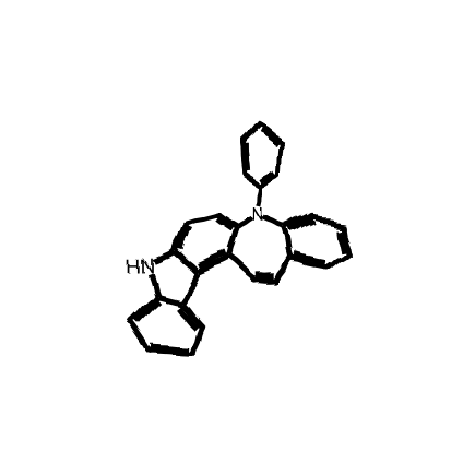 C1=Cc2c(ccc3[nH]c4ccccc4c23)N(c2ccccc2)c2ccccc21